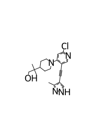 Cc1n[nH]cc1C#Cc1cnc(Cl)cc1N1CCC(C(C)(C)CO)CC1